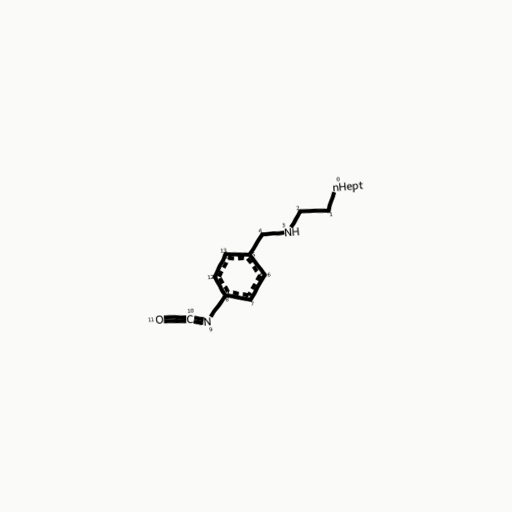 CCCCCCCCCNCc1ccc(N=C=O)cc1